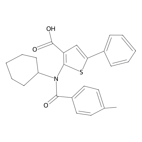 Cc1ccc(C(=O)N(c2sc(-c3ccccc3)cc2C(=O)O)C2CCCCC2)cc1